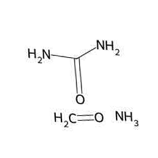 C=O.N.NC(N)=O